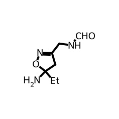 CCC1(N)CC(CNC=O)=NO1